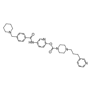 O=C(Nc1ccc(OC(=O)N2CCN(CCCc3cccnc3)CC2)nc1)c1ccc(CN2CCCCC2)cc1